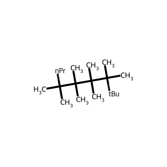 CCCC(C)(C)C(C)(C)C(C)(C)C(C)(C)C(C)(C)C